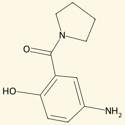 Nc1ccc(O)c(C(=O)N2CCCC2)c1